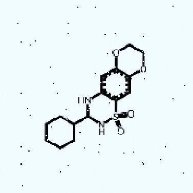 O=S1(=O)NC(C2CCCCC2)Nc2cc3c(cc21)OCCO3